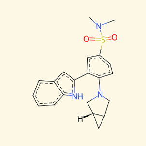 CN(C)S(=O)(=O)c1ccc(N2CC3C[C@@H]3C2)c(-c2cc3ccccc3[nH]2)c1